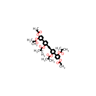 C=CC(=O)Oc1ccc(-c2ccc(C#Cc3ccc(-c4ccc(OC(=O)C=C)c(OC(=O)C(=C)C)c4)cc3OC(=O)C(=C)C)cc2OC(=O)C(=C)C)c(OC(=O)C(=C)C)c1